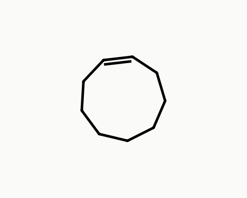 C1=CCCCCCCC1